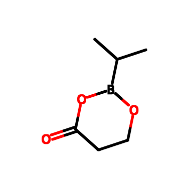 CC(C)B1OCCC(=O)O1